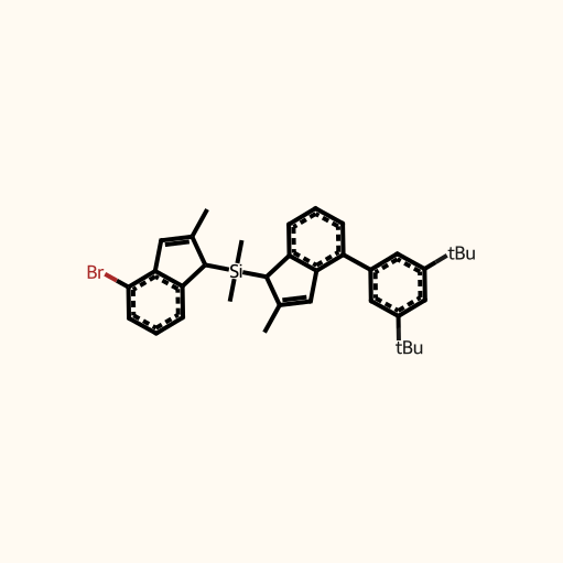 CC1=Cc2c(Br)cccc2C1[Si](C)(C)C1C(C)=Cc2c(-c3cc(C(C)(C)C)cc(C(C)(C)C)c3)cccc21